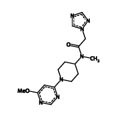 COc1cc(N2CCC(N(C)C(=O)Cn3cncn3)CC2)ncn1